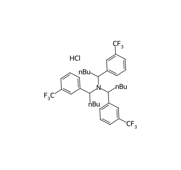 CCCCC(c1cccc(C(F)(F)F)c1)N(C(CCCC)c1cccc(C(F)(F)F)c1)C(CCCC)c1cccc(C(F)(F)F)c1.Cl